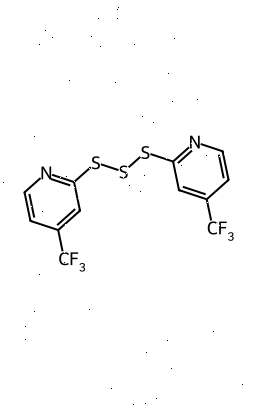 FC(F)(F)c1ccnc(SSSc2cc(C(F)(F)F)ccn2)c1